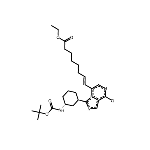 CCOC(=O)CCCCC/C=C/c1cnc(Cl)c2cnc([C@@H]3CCC[C@@H](NC(=O)OC(C)(C)C)C3)n12